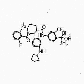 BC(B)(O)c1ccc(NC(=O)[C@H]2CCCN(C(=O)c3c(C)cccc3F)[C@H]2c2ccc(NC3CCCC3)cc2)cc1C(F)(F)F